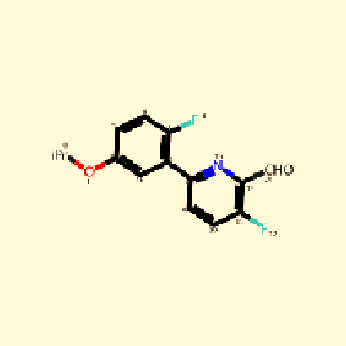 CC(C)Oc1ccc(F)c(-c2ccc(F)c(C=O)n2)c1